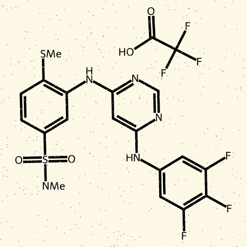 CNS(=O)(=O)c1ccc(SC)c(Nc2cc(Nc3cc(F)c(F)c(F)c3)ncn2)c1.O=C(O)C(F)(F)F